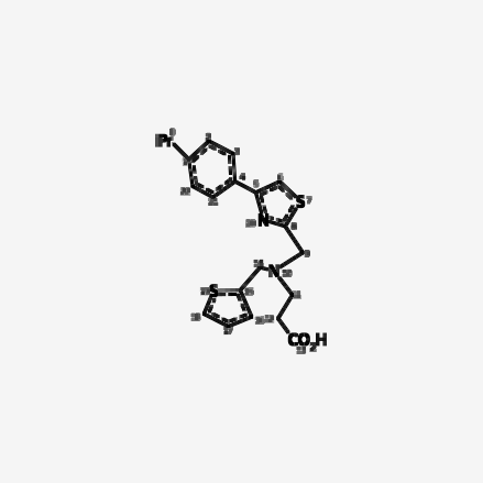 CC(C)c1ccc(-c2csc(CN(CCC(=O)O)Cc3cccs3)n2)cc1